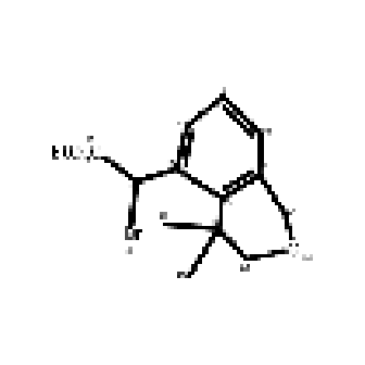 CCOC(=O)C(Br)c1cccc2c1C(C)(C)COC2